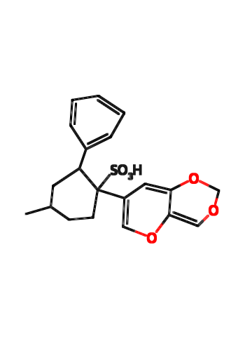 CC1CCC(C2=COC3=COCOC3=C2)(S(=O)(=O)O)C(c2ccccc2)C1